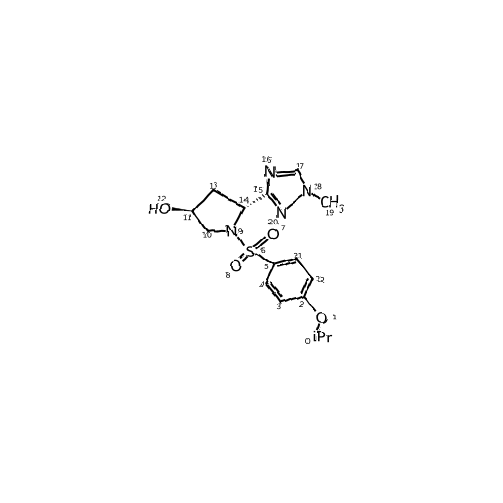 CC(C)Oc1ccc(S(=O)(=O)N2C[C@@H](O)C[C@@H]2c2ncn(C)n2)cc1